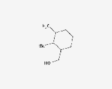 CC1CCCC(CO)C1C(C)(C)C